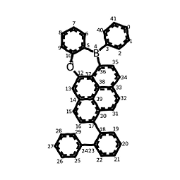 c1ccc(B2c3ccccc3Oc3cc4ccc(-c5ccccc5-c5ccccc5)c5ccc6ccc2c3c6c45)cc1